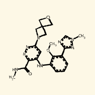 CNC(=O)c1nnc(N2CC3(COC3)C2)cc1Nc1cccc(-c2ncn(C)n2)c1OC